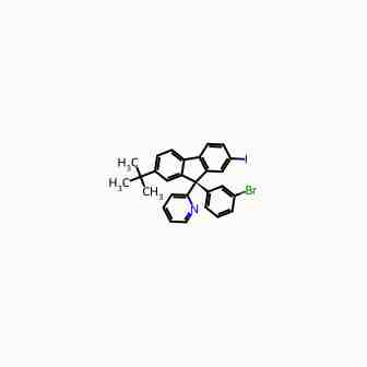 CC(C)(C)c1ccc2c(c1)[C@@](c1cccc(Br)c1)(c1ccccn1)c1cc(I)ccc1-2